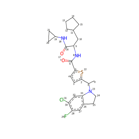 CC(c1ccc(C(=O)NC(CC2CCCC2)C(=O)NC2CC2)s1)N1CCc2cc(F)c(Cl)cc21